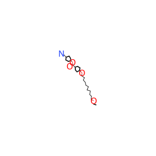 C=COCCCCCCCCCCCOc1ccc(C(=O)Oc2ccc(C#N)cc2)cc1